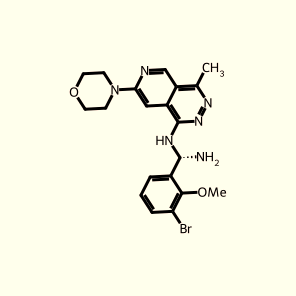 COc1c(Br)cccc1[C@@H](N)Nc1nnc(C)c2cnc(N3CCOCC3)cc12